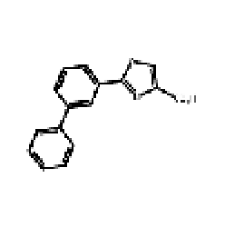 O=C(O)c1coc(-c2cccc(-c3ccccc3)c2)n1